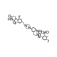 C=Cc1ccc(-c2nn3c(c2C=O)Nc2ccc(N4CCN(CCc5cc(F)c([C@H]6CCC(=O)NC6=O)c(F)c5)CC4)cc2CC3)c(F)c1C